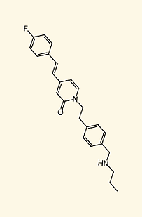 CCCNCc1ccc(CCn2ccc(/C=C/c3ccc(F)cc3)cc2=O)cc1